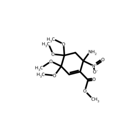 COC(=O)C1=CC(OC)(OC)C(OC)(OC)CC1(N)[N+](=O)[O-]